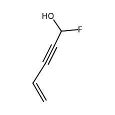 C=CC#CC(O)F